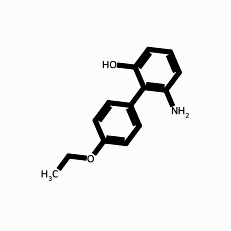 CCOc1ccc(-c2c(N)cccc2O)cc1